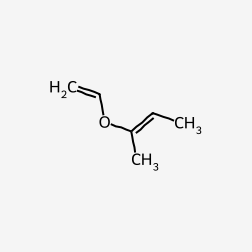 C=COC(C)=CC